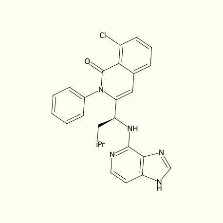 CC(C)C[C@H](Nc1nccc2[nH]cnc12)c1cc2cccc(Cl)c2c(=O)n1-c1ccccc1